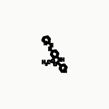 COc1cc(N=Nc2ccccn2)ccc1NC(=O)c1ccncc1